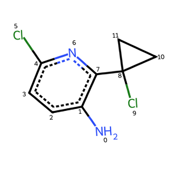 Nc1ccc(Cl)nc1C1(Cl)CC1